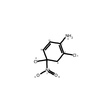 NC1=C(Cl)CC(Cl)([N+](=O)[O-])C=C1